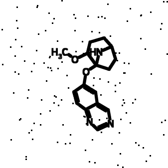 COC1CCC2CCC1(Oc1ccc3ncncc3c1)N2